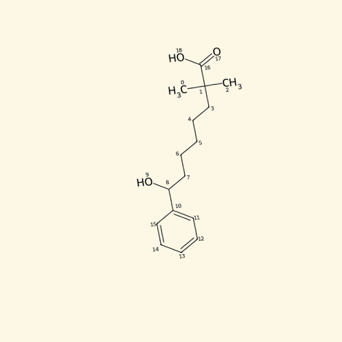 CC(C)(CCCCCC(O)c1ccccc1)C(=O)O